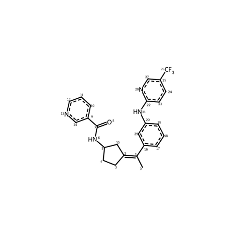 CC(=C1CCC(NC(=O)c2cccnc2)C1)c1cccc(Nc2ccc(C(F)(F)F)cn2)c1